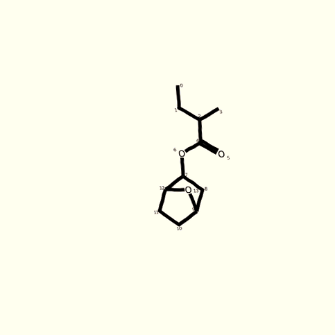 CCC(C)C(=O)OC1CC2CCC1O2